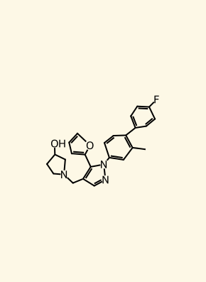 Cc1cc(-n2ncc(CN3CCC(O)C3)c2-c2ccco2)ccc1-c1ccc(F)cc1